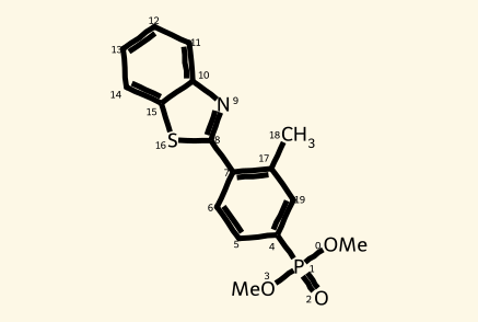 COP(=O)(OC)c1ccc(-c2nc3ccccc3s2)c(C)c1